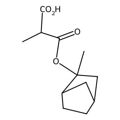 CC(C(=O)O)C(=O)OC1(C)CC2CCC1C2